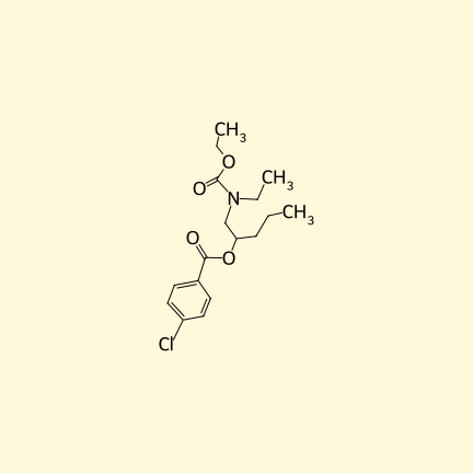 CCCC(CN(CC)C(=O)OCC)OC(=O)c1ccc(Cl)cc1